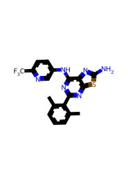 Cc1cccc(C)c1-c1nc(Nc2ccc(C(F)(F)F)nc2)c2nc(N)sc2n1